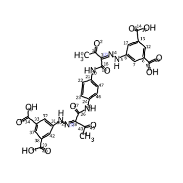 CC(=O)/C(=N/Nc1cc(C(=O)O)cc(C(=O)O)c1)C(=O)Nc1ccc(NC(=O)/C(=N\Nc2cc(C(=O)O)cc(C(=O)O)c2)C(C)=O)cc1